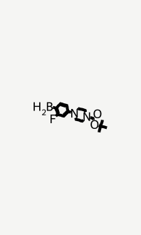 Bc1ccc(N2CCN(C(=O)OC(C)(C)C)CC2)cc1F